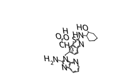 CC(=O)O.Nc1nc2cccnc2n1Cc1ccc2nc(NC3CCCCC3O)sc2c1